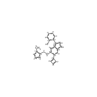 Cn1cnnc1COc1nn2c(-c3ccccc3F)nnc2cc1C1=CC=C1